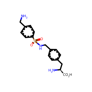 NCc1ccc(S(=O)(=O)NCc2ccc(C[C@H](N)C(=O)O)cc2)cc1